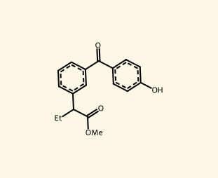 CCC(C(=O)OC)c1cccc(C(=O)c2ccc(O)cc2)c1